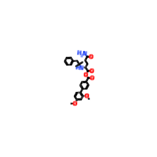 COc1ccc(-c2ccc(C(=O)OC(=O)[C@H](CCC(N)=O)NC(C)(C)Cc3ccccc3)cc2)c(OC)c1